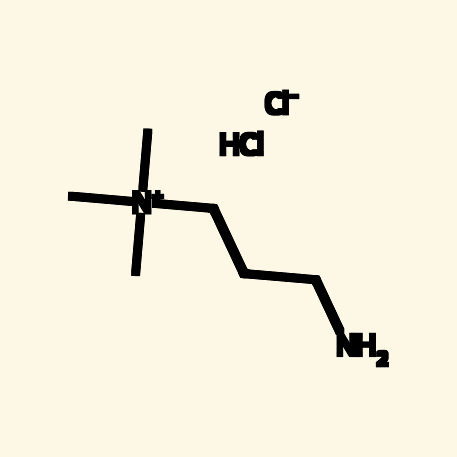 C[N+](C)(C)CCCN.Cl.[Cl-]